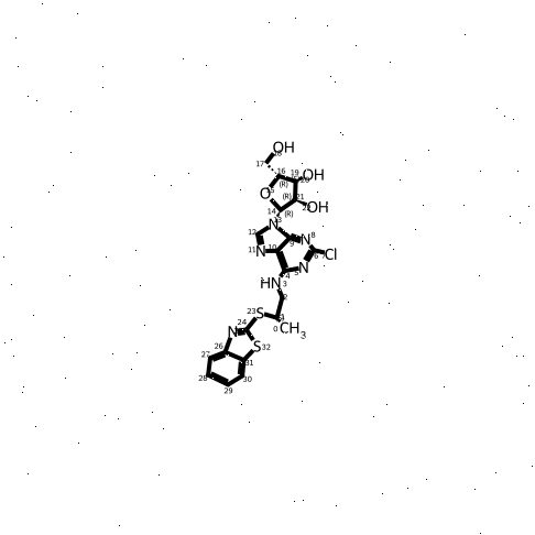 C[C@@H](CNc1nc(Cl)nc2c1ncn2[C@@H]1O[C@H](CO)[C@@H](O)[C@H]1O)Sc1nc2ccccc2s1